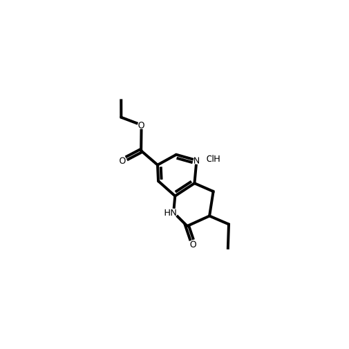 CCOC(=O)c1cnc2c(c1)NC(=O)C(CC)C2.Cl